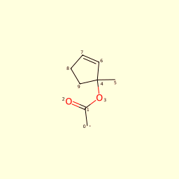 [CH2]C(=O)OC1(C)C=CCC1